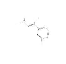 CC(=C[N+](=O)[O-])c1cccc(Cl)c1